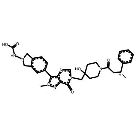 C[C@H](CC(=O)N1CCC(O)(Cn2cnc3c(-c4ccc5c(c4)CN(NC(=O)O)C5)n(C)nc3c2=O)CC1)c1ccccc1